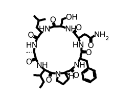 CCC(C)C1NC(=O)[C@H](C)NC(=O)C(CC(C)C)NC(=O)C(CO)NC(=O)C(CC(N)=O)NC(=O)C(Cc2ccccc2)NC(=O)[C@@H]2CCCN2C1=O